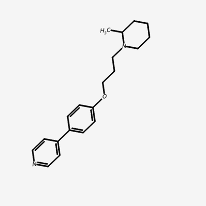 CC1CCCCN1CCCOc1ccc(-c2ccncc2)cc1